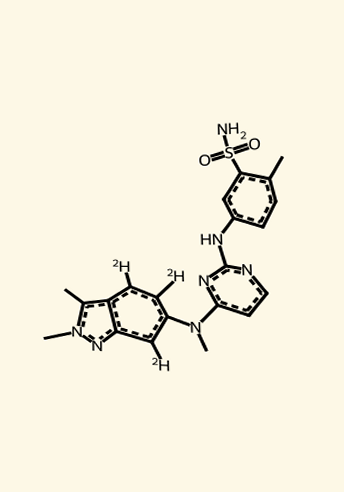 [2H]c1c(N(C)c2ccnc(Nc3ccc(C)c(S(N)(=O)=O)c3)n2)c([2H])c2nn(C)c(C)c2c1[2H]